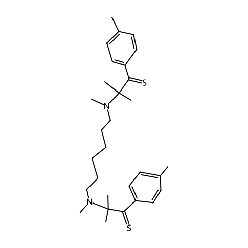 Cc1ccc(C(=S)C(C)(C)N(C)CCCCCCN(C)C(C)(C)C(=S)c2ccc(C)cc2)cc1